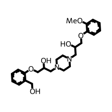 COc1ccccc1OCC(O)CN1CCN(CC(O)COc2ccccc2CO)CC1